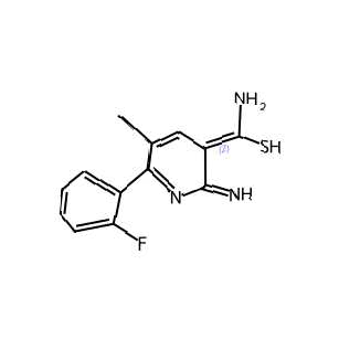 CC1=C/C(=C(\N)S)C(=N)N=C1c1ccccc1F